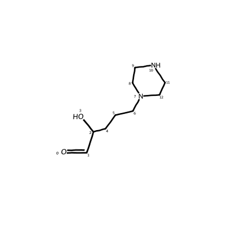 O=CC(O)CCCN1CCNCC1